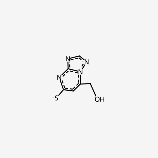 OCc1cc([S])nc2ncnn12